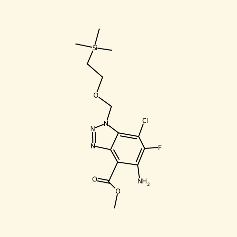 COC(=O)c1c(N)c(F)c(Cl)c2c1nnn2COCC[Si](C)(C)C